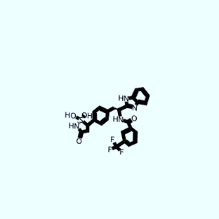 O=C1CC(c2ccc(C[C@H](NC(=O)c3cccc(C(F)(F)F)c3)c3nc4ccccc4[nH]3)cc2)S(O)(O)N1